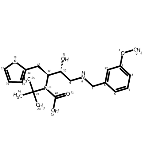 COc1cccc(CNC[C@@H](O)[C@H](Cc2cccs2)N(C(=O)O)C(C)(C)C)c1